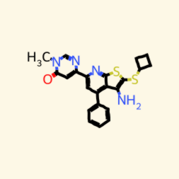 Cn1cnc(-c2cc(-c3ccccc3)c3c(N)c(SC4CCC4)sc3n2)cc1=O